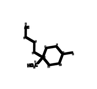 CC(=O)CCCC1(C(=O)O)CCC(C)CC1